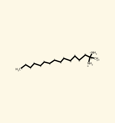 CCCCCCCCCCCCCCC(C)(N)N